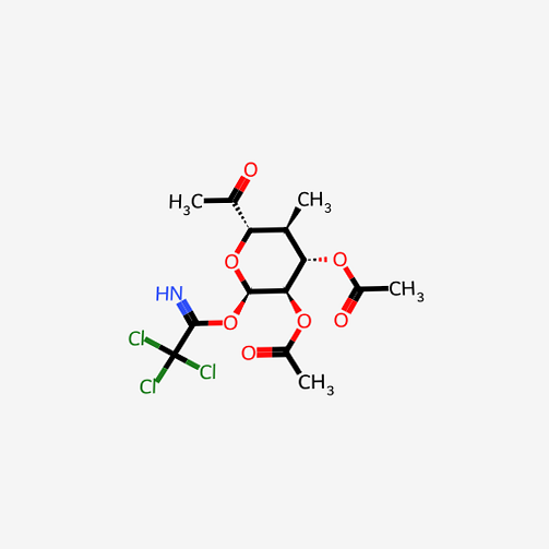 CC(=O)O[C@H]1[C@@H](OC(=N)C(Cl)(Cl)Cl)O[C@H](C(C)=O)[C@@H](C)[C@@H]1OC(C)=O